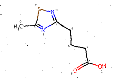 Cc1nc(CCCC(=O)O)ns1